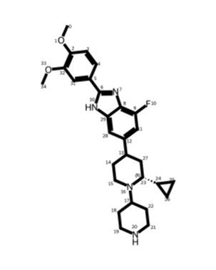 COc1ccc(-c2nc3c(F)cc(C4CCN(C5CCNCC5)[C@@H](C5CC5)C4)cc3[nH]2)cc1OC